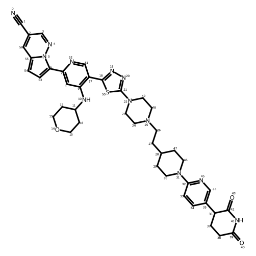 N#Cc1cnn2c(-c3cc(NC4CCOCC4)c(-c4nnc(N5CCN(CCC6CCN(c7ccc(C8CCC(=O)NC8=O)cn7)CC6)CC5)s4)cn3)ccc2c1